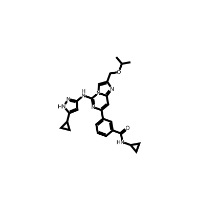 CC(C)OCc1cn2c(Nc3cc(C4CC4)[nH]n3)nc(-c3cccc(C(=O)NC4CC4)c3)cc2n1